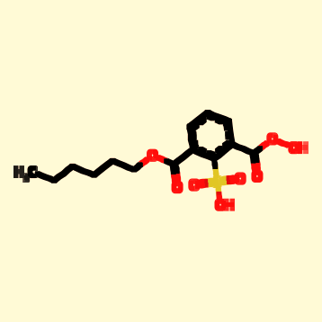 CCCCCCOC(=O)c1cccc(C(=O)OO)c1S(=O)(=O)O